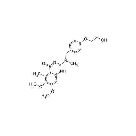 COc1cc2[nH]c(N(C)Cc3ccc(OCCO)cc3)nc(=O)c2c(C)c1OC